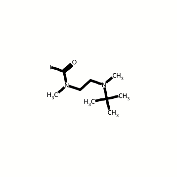 CN(CCN(C)C(C)(C)C)C(=O)I